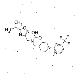 CC(C)c1nc(CN(CC2CCN(c3nccc(C(F)(F)F)n3)CC2)C(=O)O)no1